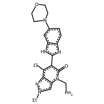 CCn1cc2c(n1)c(Cl)c(-c1nc3ccc(N4CCOCC4)cc3[nH]1)c(=O)n2CP